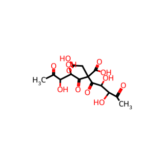 CC(=O)C(O)C(O)C(=O)C(CC(=O)O)(C(=O)O)C(=O)C(O)C(O)C(C)=O